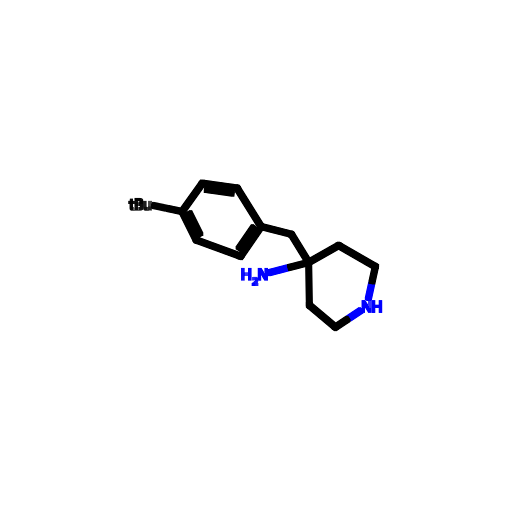 CC(C)(C)c1ccc(CC2(N)CCNCC2)cc1